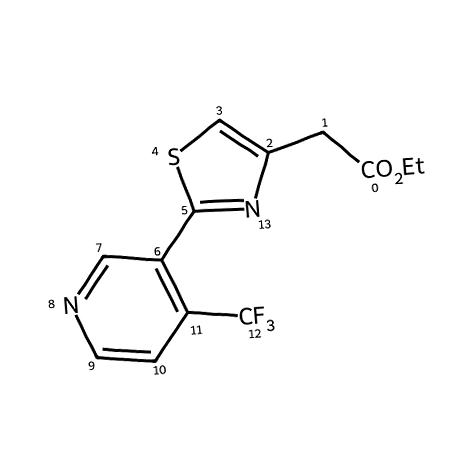 CCOC(=O)Cc1csc(-c2cnccc2C(F)(F)F)n1